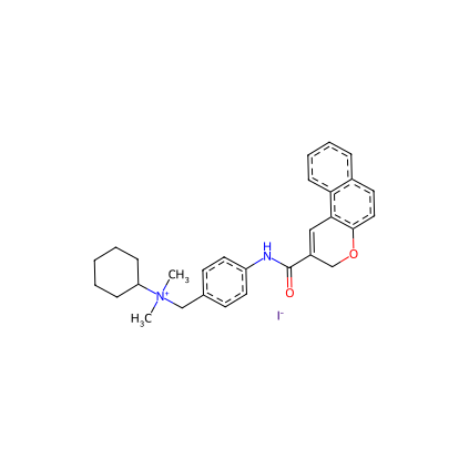 C[N+](C)(Cc1ccc(NC(=O)C2=Cc3c(ccc4ccccc34)OC2)cc1)C1CCCCC1.[I-]